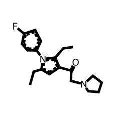 CCc1cc(C(=O)CN2CCCC2)c(CC)n1-c1ccc(F)cc1